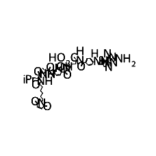 CC(C)[C@H](NC(=O)CCCCCN1C(=O)C=CC1=O)C(=O)N[C@@H](C)C(=O)Nc1ccc(C(=O)NCCC[C@H](NC(=O)c2ccc(NCc3cnc4nc(N)nc(N)c4n3)cc2)C(=O)O)c(O)c1